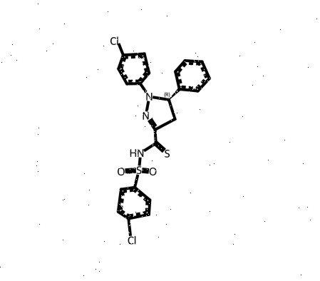 O=S(=O)(NC(=S)C1=NN(c2ccc(Cl)cc2)[C@@H](c2ccccc2)C1)c1ccc(Cl)cc1